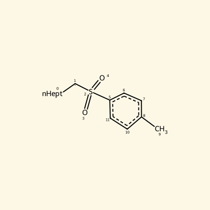 CCCCCCC[CH]S(=O)(=O)c1ccc(C)cc1